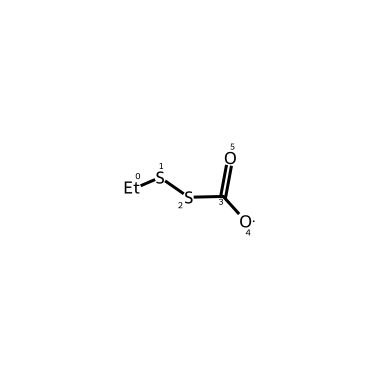 CCSSC([O])=O